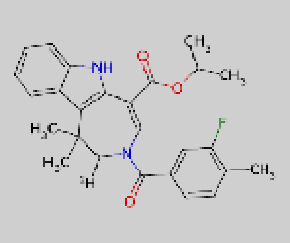 [2H]C1N(C(=O)c2ccc(C)c(F)c2)C=C(C(=O)OC(C)C)c2[nH]c3ccccc3c2C1(C)C